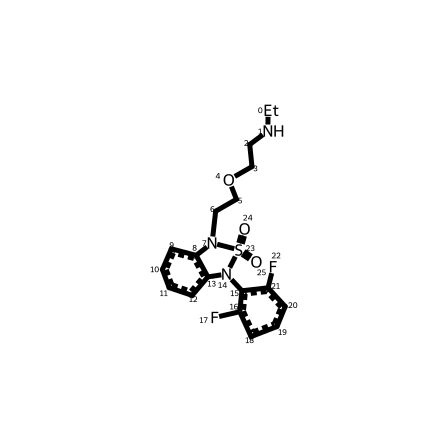 CCNCCOCCN1c2ccccc2N(c2c(F)cccc2F)S1(=O)=O